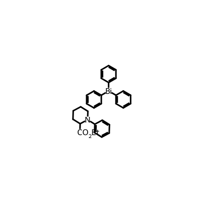 CCOC(=O)C1CCCCN1c1ccccc1.c1cc[c]([Bi]([c]2ccccc2)[c]2ccccc2)cc1